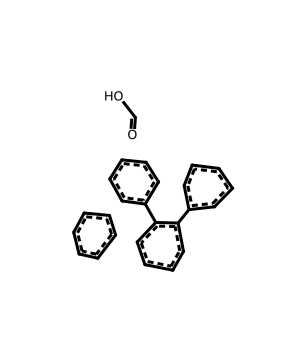 O=CO.c1ccc(-c2ccccc2-c2ccccc2)cc1.c1ccccc1